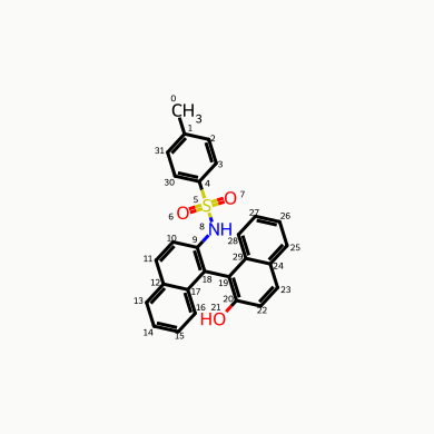 Cc1ccc(S(=O)(=O)Nc2ccc3ccccc3c2-c2c(O)ccc3ccccc23)cc1